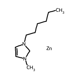 CCCCCCN1C=CN(C)C1.[Zn]